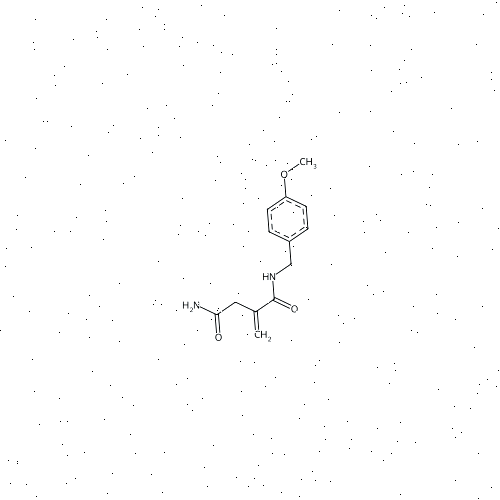 C=C(CC(N)=O)C(=O)NCc1ccc(OC)cc1